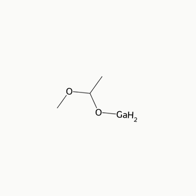 COC(C)[O][GaH2]